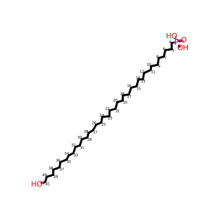 O=P(O)(O)CCCCCCCCCCCCCCCCCCCCCCCCCCCCCCCCCCCCCCO